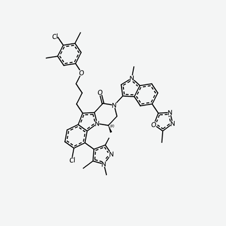 Cc1nnc(-c2ccc3c(c2)c(N2C[C@@H](C)n4c(c(CCCOc5cc(C)c(Cl)c(C)c5)c5ccc(Cl)c(-c6c(C)nn(C)c6C)c54)C2=O)cn3C)o1